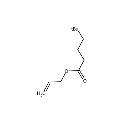 C=CCOC(=O)CCCC(C)(C)C